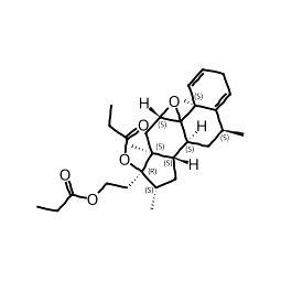 CCC(=O)OCC[C@@]1(OC(=O)CC)[C@@H](C)C[C@H]2[C@@H]3C[C@H](C)C4=CCC=C[C@]4(C)C34O[C@H]4C[C@@]21C